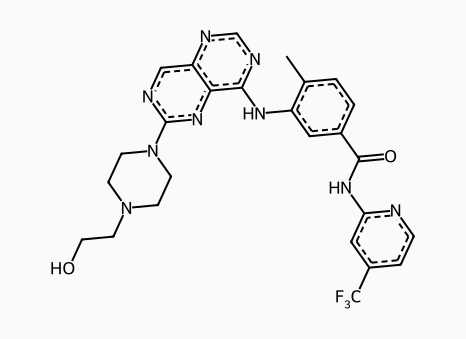 Cc1ccc(C(=O)Nc2cc(C(F)(F)F)ccn2)cc1Nc1ncnc2cnc(N3CCN(CCO)CC3)nc12